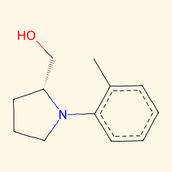 Cc1ccccc1N1CCC[C@@H]1CO